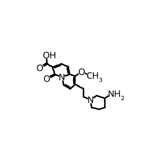 COc1c(CCN2CCCC(N)C2)ccn2c(=O)c(C(=O)O)ccc12